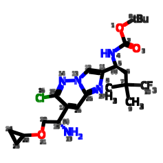 CC(C)(C)OC(=O)N[C@@H](CC(C)(C)C(F)(F)F)c1cn2nc(Cl)c([C@H](N)COC3CC3)cc2n1